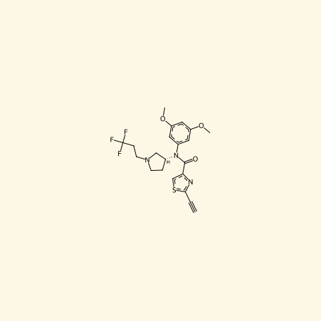 C#Cc1nc(C(=O)N(c2cc(OC)cc(OC)c2)[C@@H]2CCN(CCC(F)(F)F)C2)cs1